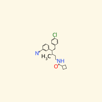 CC(CCNC(=O)C1CCC1)[C@H](Cc1ccc(Cl)cc1)c1cccc(C#N)c1